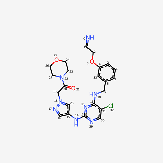 N=CCOc1cccc(CNc2nc(Nc3cnn(CC(=O)N4CCOCC4)c3)ncc2Cl)c1